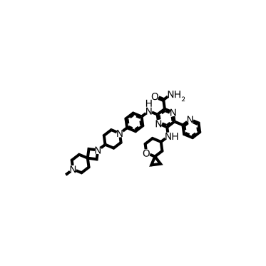 CN1CCC2(CC1)CN(C1CCN(c3ccc(Nc4nc(NC5CCOC6(CC6)C5)c(-c5ccccn5)nc4C(N)=O)cc3)CC1)C2